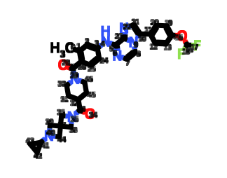 Cc1cc(Nc2nccn3c(-c4ccc(OC(F)F)cc4)cnc23)ccc1C(=O)N1CCC(C(=O)N2CC3(C2)CN(C2CC2)C3)CC1